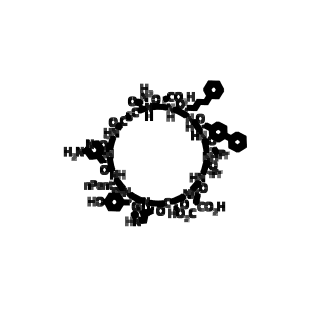 CCCCC[C@@H]1NC(=O)[C@H](Cc2ccnc(N)c2)NC(=O)[C@H](C)NC(=O)CSC[C@@H](C(N)=O)NC(=O)[C@H](CC(=O)O)NC(=O)[C@H](CCCCc2ccccc2)NC(=O)[C@H](Cc2ccc(-c3ccccc3)cc2)NC(=O)[C@H](CC(C)C)NC(=O)[C@H](C(C)C)NC(=O)[C@H](CCC(=O)O)NC(=O)[C@H](CC(=O)O)CC(=O)[C@H](Cc2c[nH]cn2)NC(=O)[C@H](Cc2ccc(O)cc2)NC1=O